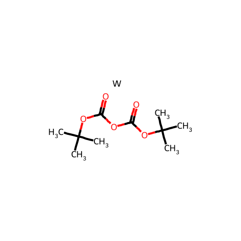 CC(C)(C)OC(=O)OC(=O)OC(C)(C)C.[W]